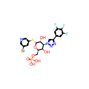 O=P(O)(O)OC[C@H]1O[C@H](Sc2cncc(Br)c2)[C@H](O)[C@@H](n2cc(-c3cc(F)c(F)c(F)c3)nn2)[C@H]1O